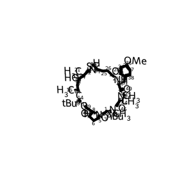 CC[C@H](C)[C@H]1C(=O)N2CCC[C@H]2C(=O)O[C@H](C(C)(C)C)C[C@@H](C)C[C@H](O)[C@H](C)C2=N[C@H](CCC(=O)N[C@@H](Cc3ccc(OC)cc3)C(=O)N(C)[C@@H](C)C(=O)N1C)CS2